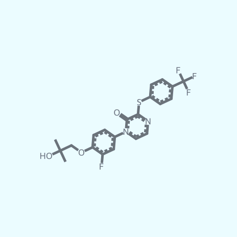 CC(C)(O)COc1ccc(-n2ccnc(Sc3ccc(C(F)(F)F)cc3)c2=O)cc1F